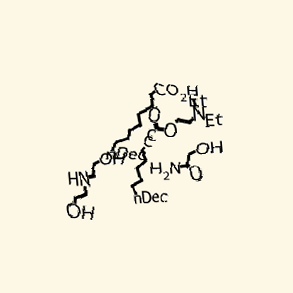 CCCCCCCCCCCCCCCCCC(=O)O.CCCCCCCCCCCCCCCCCC(=O)OCCN(CC)CC.NC(=O)CO.OCCNCCO